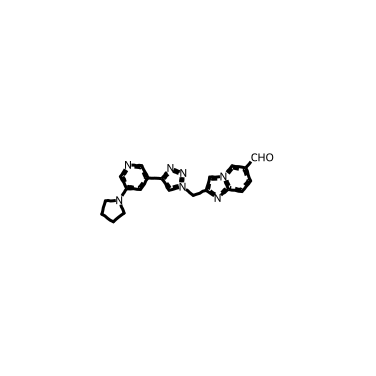 O=Cc1ccc2nc(Cn3cc(-c4cncc(N5CCCC5)c4)nn3)cn2c1